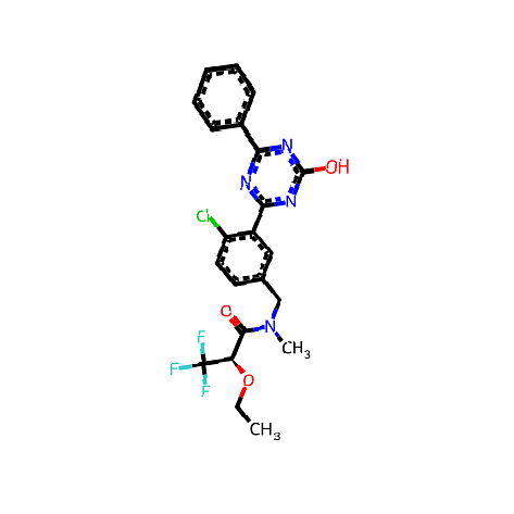 CCO[C@H](C(=O)N(C)Cc1ccc(Cl)c(-c2nc(O)nc(-c3ccccc3)n2)c1)C(F)(F)F